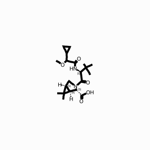 COC(C(=O)N[C@H](C(=O)N1C[C@H]2[C@@H]([C@H]1C(=O)O)C2(C)C)C(C)(C)C)C1CC1